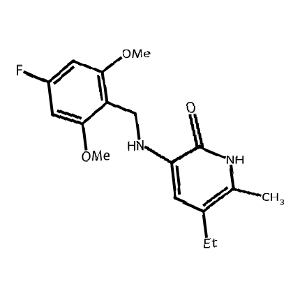 CCc1cc(NCc2c(OC)cc(F)cc2OC)c(=O)[nH]c1C